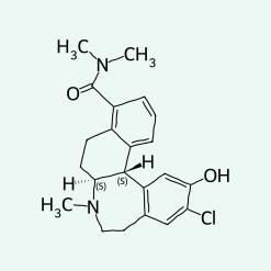 CN(C)C(=O)c1cccc2c1CC[C@H]1[C@H]2c2cc(O)c(Cl)cc2CCN1C